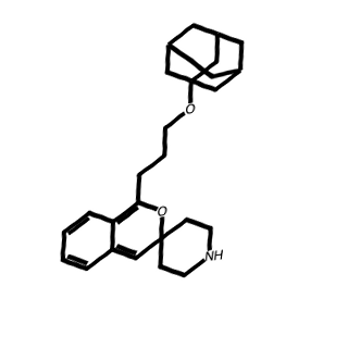 C1=c2ccccc2=C(CCCOC23CC4CC(CC(C4)C2)C3)OC12CCNCC2